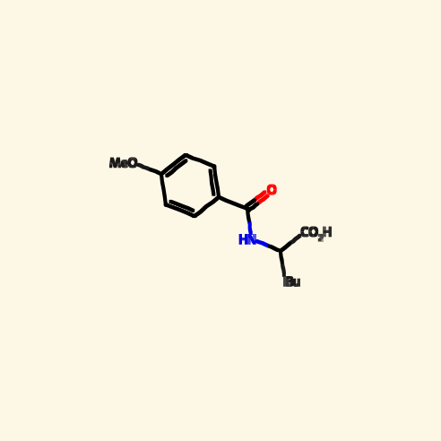 CCC(C)C(NC(=O)c1ccc(OC)cc1)C(=O)O